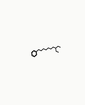 CCC(CC)CCCCCCCc1ccccc1